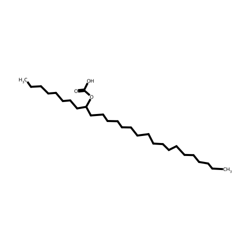 CCCCCCCCCCCCCCCCCCC(CCCCCCCC)OC(=O)O